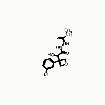 CNC(=S)NNC(=O)C(O)C1(c2cccc(Br)c2)COC1